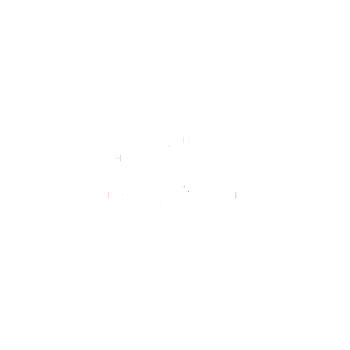 CC(CS)NC(=O)C(C)(C)O